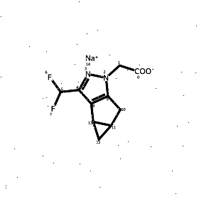 O=C([O-])Cn1nc(C(F)F)c2c1CC1CC21.[Na+]